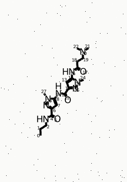 CCCNC(=O)c1cc(NC(=O)c2cc(NC(=O)CCN(C)C)n(C)n2)n(C)n1